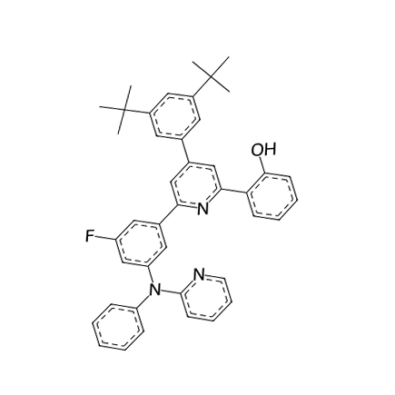 CC(C)(C)c1cc(-c2cc(-c3cc(F)cc(N(c4ccccc4)c4ccccn4)c3)nc(-c3ccccc3O)c2)cc(C(C)(C)C)c1